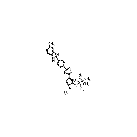 COc1ccc(-c2nc(-c3ccc(-c4nc5cc(C)ccc5[nH]4)cc3)no2)cc1OC(C)(C)C(C)(C)C